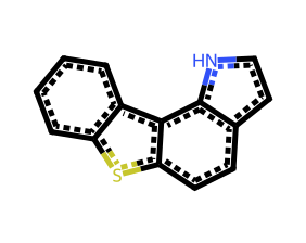 c1ccc2c(c1)sc1ccc3cc[nH]c3c12